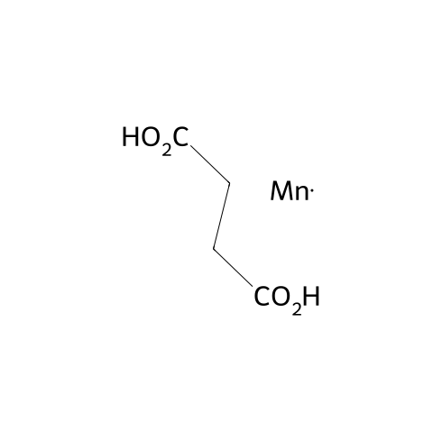 O=C(O)CCC(=O)O.[Mn]